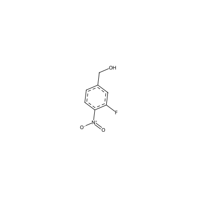 O=[N+]([O-])c1ccc(CO)cc1F